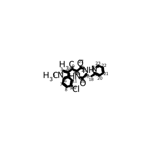 C[C@H](c1cn(C)c2ccc(Cl)cc12)[C@H]1NC(=O)[C@@H](Cc2ccccn2)NC1=O